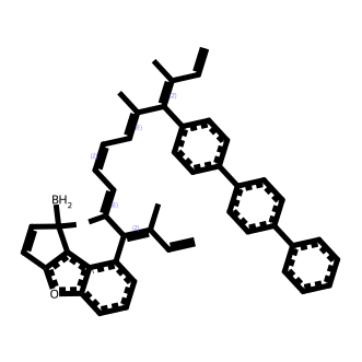 BC1(C)C=Cc2oc3cccc(C(=C(/C)C=C)/C(C)=C/C=C\C=C(C)\C(=C(/C)C=C)c4ccc(-c5ccc(-c6ccccc6)cc5)cc4)c3c21